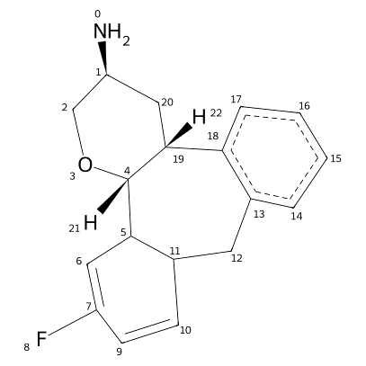 N[C@@H]1CO[C@H]2C3C=C(F)C=CC3Cc3ccccc3[C@H]2C1